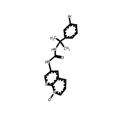 CC(=O)c1cccc(C(C)(C)NC(=O)Nc2cnc3c(ccc[n+]3[O-])c2)c1